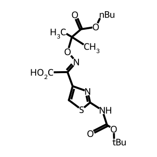 CCCCOC(=O)C(C)(C)O/N=C(\C(=O)O)c1csc(NC(=O)OC(C)(C)C)n1